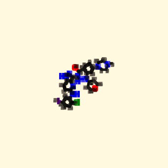 CN1CCN(c2ccc(C(=O)Nc3n[nH]c4ccc(Nc5cc(I)ccc5Cl)nc34)c(NC3CCOCC3)c2)CC1